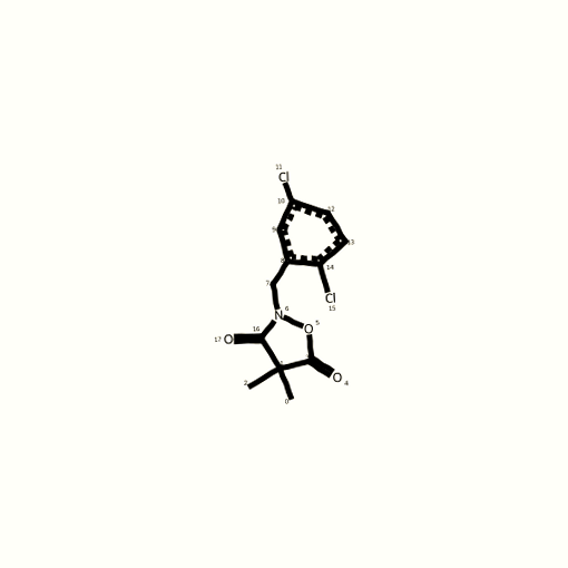 CC1(C)C(=O)ON(Cc2cc(Cl)ccc2Cl)C1=O